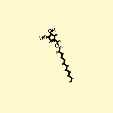 CCCCCCCCCCCCOCC1CC(O)C(O)C1